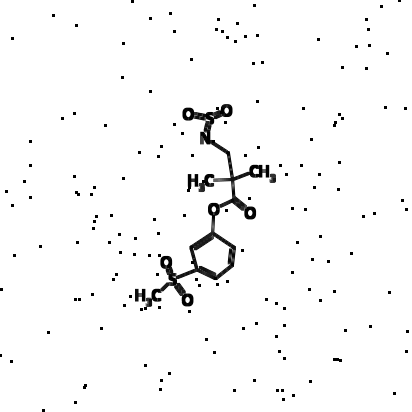 CC(C)(CN=S(=O)=O)C(=O)Oc1cccc(S(C)(=O)=O)c1